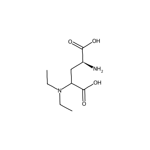 CCN(CC)C(C[C@H](N)C(=O)O)C(=O)O